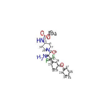 CC(C)(C)OC(=O)NC1CCN(C(=O)C(N)C(F)(F)c2cccc(Oc3ccccc3)c2)CC1